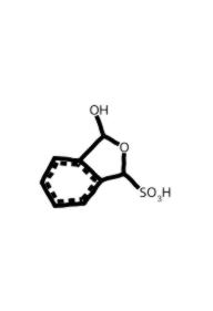 O=S(=O)(O)C1OC(O)c2ccccc21